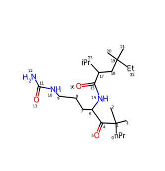 CCCC(C)(C)C(=O)C(CCCNC(N)=O)NC(=O)C(CC(C)(C)CC)C(C)C